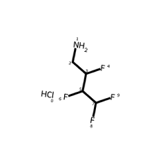 Cl.NCC(F)C(F)C(F)F